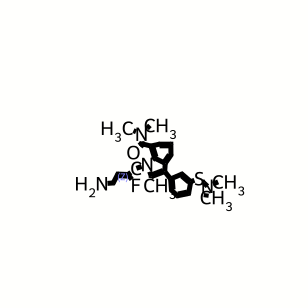 Cc1c(-c2cccc(SN(C)C)c2)c2cccc(C(=O)N(C)C)c2n1C/C(F)=C/CN